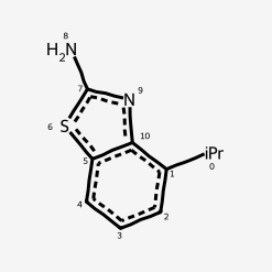 CC(C)c1cccc2sc(N)nc12